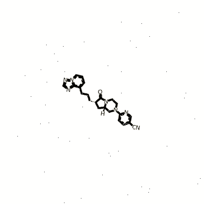 N#Cc1ccc(N2CCN3C(=O)[C@@H](CCCc4cccn5ncnc45)C[C@H]3C2)nc1